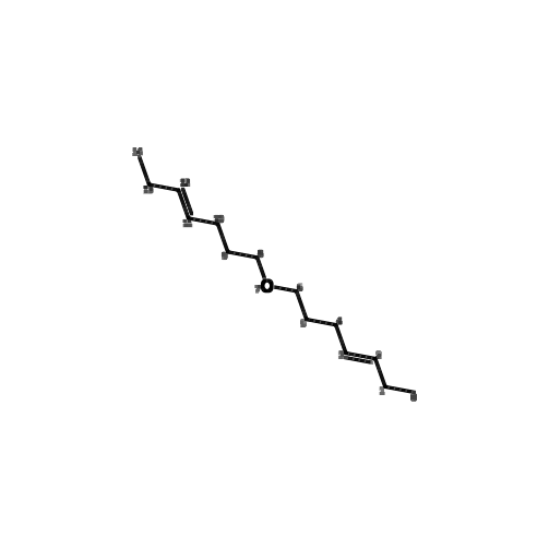 CCC=CCCCOCCCC=CCC